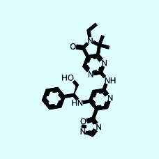 CCN1C(=O)c2cnc(Nc3cc(N[C@H](CO)c4ccccc4)c(-c4ncno4)cn3)nc2C1(C)C